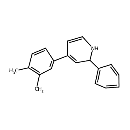 Cc1ccc(C2=CC(c3ccccc3)NC=C2)cc1C